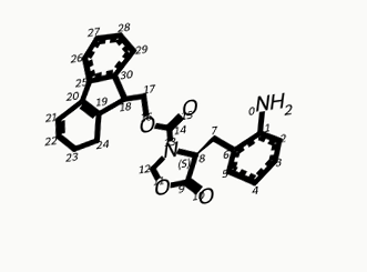 Nc1ccccc1C[C@H]1C(=O)OCN1C(=O)OCC1C2=C(C=CCC2)c2ccccc21